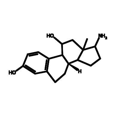 CC12CC(O)C3c4ccc(O)cc4CC[C@H]3C1CCC2N